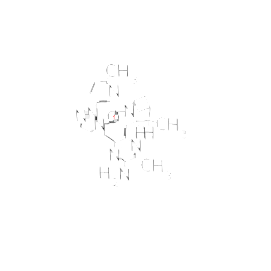 Cc1ccc(-n2nccn2)c(C(=O)N2C3CC(C3)[C@@H](C)[C@H]2c2cccc3nc(N)c(C)nc23)n1